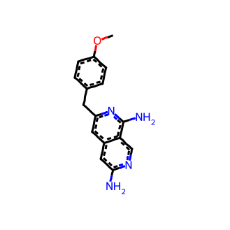 COc1ccc(Cc2cc3cc(N)ncc3c(N)n2)cc1